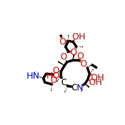 CC[C@H]1OC(=O)[C@H](C)[C@@H](O[C@H]2C[C@@](C)(OC)[C@@H](O)[C@H](C)O2)[C@H](C)[C@@H](O[C@H]2C[C@@H](NC)C[C@@H](C)O2)[C@](C)(O)C[C@@H](C)CN(C)[C@H](C)[C@@H](O)[C@]1(C)O